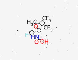 C[C@@H](O[C@H]1CC[C@@H]([C@@H]2C[C@H](O)C(=O)N2)[C@@H]1c1ccc(F)cc1)c1cc(C(F)(F)F)cc(C(F)(F)F)c1